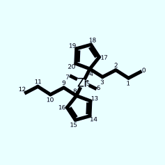 CCCC[C]1([Zr]([CH3])([CH3])[C]2(CCCC)C=CC=C2)C=CC=C1